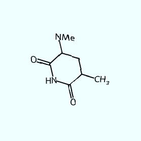 CNC1CC(C)C(=O)NC1=O